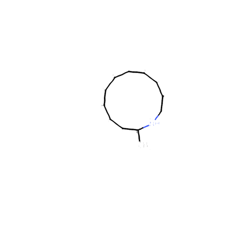 [CH2]C1CCCCCCCCCCN1